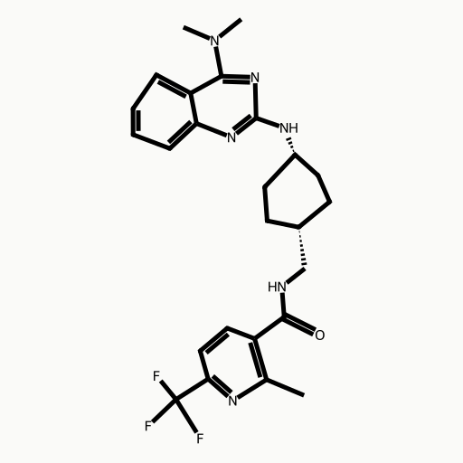 Cc1nc(C(F)(F)F)ccc1C(=O)NC[C@H]1CC[C@@H](Nc2nc(N(C)C)c3ccccc3n2)CC1